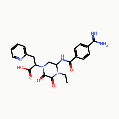 CCN1C(=O)C(=O)N(C(Cc2ccccn2)C(=O)O)CC1NC(=O)c1ccc(C(=N)N)cc1